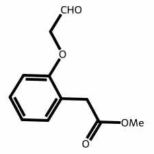 COC(=O)Cc1ccccc1OCC=O